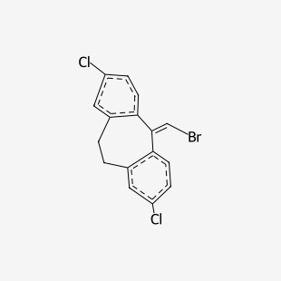 Clc1ccc2c(c1)CCc1cc(Cl)ccc1C2=CBr